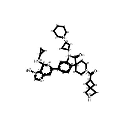 CC(C)n1cnc2cc(-c3ccc4c(c3)N([C@H]3C[C@@H](N5CCCCC5)C3)C(=O)C43CCN(C(=O)C4CC5(CNC5)C4)CC3)nc(NC3CC3)c21